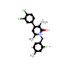 Cc1cc(-c2ccc(Cl)c(Cl)c2)c(C(=O)O)c(=O)n1Cc1ccc(C(F)(F)F)cc1F